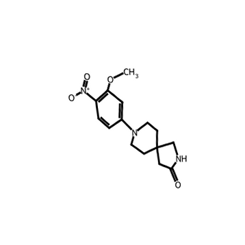 COc1cc(N2CCC3(CC2)CNC(=O)C3)ccc1[N+](=O)[O-]